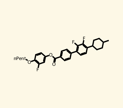 CCCCCOc1ccc(OC(=O)c2ccc(-c3ccc(C4CCC(C)CC4)c(F)c3F)cc2)cc1F